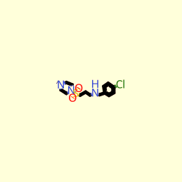 CN1CCN(S(=O)(=O)CCCNCc2ccc(Cl)cc2)CC1